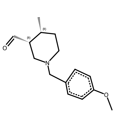 COc1ccc(CN2CC[C@@H](C)[C@@H](C=O)C2)cc1